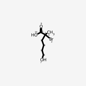 CC(Br)(CCCCO)C(=O)O